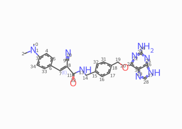 CN(C)c1ccc(/C=C(\C#N)C(=O)NCc2ccc(COc3nc(N)nc4[nH]cnc34)cc2)cc1